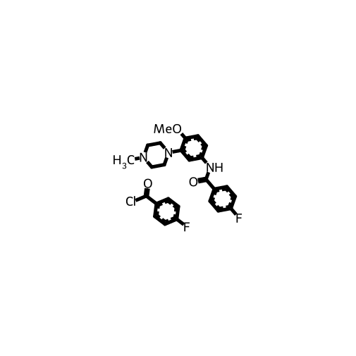 COc1ccc(NC(=O)c2ccc(F)cc2)cc1N1CCN(C)CC1.O=C(Cl)c1ccc(F)cc1